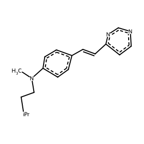 CC(C)CCN(C)c1ccc(/C=C/c2ccncn2)cc1